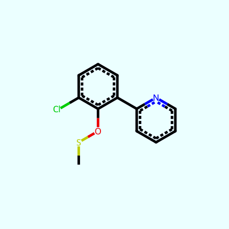 CSOc1c(Cl)cccc1-c1ccccn1